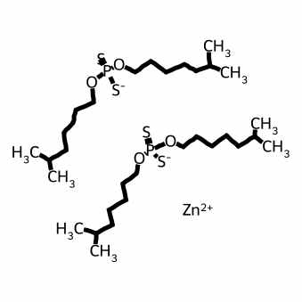 CC(C)CCCCCOP(=S)([S-])OCCCCCC(C)C.CC(C)CCCCCOP(=S)([S-])OCCCCCC(C)C.[Zn+2]